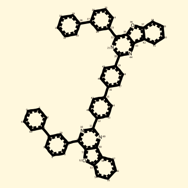 c1ccc(-c2cccc(-c3nc(-c4ccc(-c5ccc(-c6nc(-c7cccc(-c8ccccc8)c7)c7oc8ccccc8c7n6)cc5)cc4)nc4c3oc3ccccc34)c2)cc1